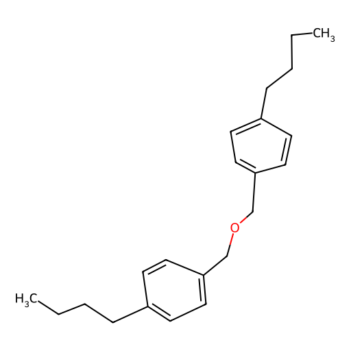 CCCCc1ccc(COCc2ccc(CCCC)cc2)cc1